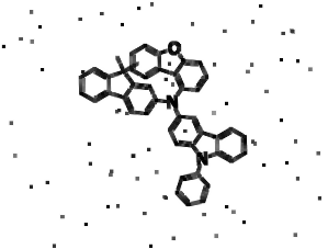 CC1(C)c2ccccc2-c2ccc(N(c3ccc4c(c3)c3ccccc3n4-c3ccccc3)c3cccc4oc5ccccc5c34)cc21